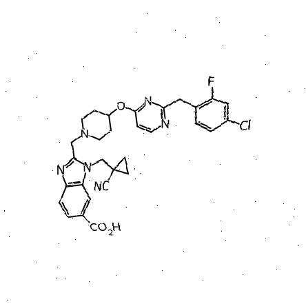 N#CC1(Cn2c(CN3CCC(Oc4ccnc(Cc5ccc(Cl)cc5F)n4)CC3)nc3ccc(C(=O)O)cc32)CC1